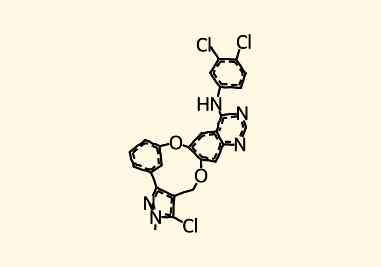 Cn1nc2c(c1Cl)COc1cc3ncnc(Nc4ccc(Cl)c(Cl)c4)c3cc1Oc1cccc-2c1